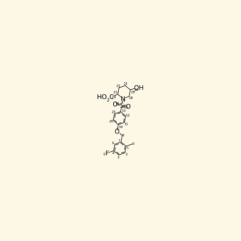 Cc1ccc(F)cc1COc1ccc(S(=O)(=O)N2CC(O)CCC2C(=O)O)cc1